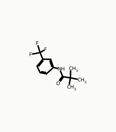 CC(C)(C)C(=O)Nc1[c]ccc(C(F)(F)F)c1